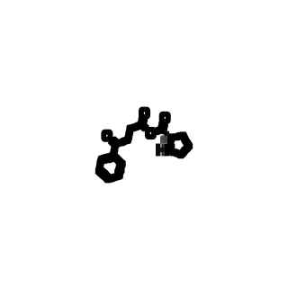 O=C(CCC(=O)c1ccccc1)OC(=O)[C@@H]1CCCN1